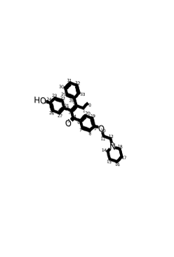 CCC(=C(C(=O)c1ccc(OCCN2CCCCC2)cc1)c1ccc(O)cc1)c1ccccc1